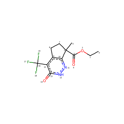 CCOC(=O)C1(C)CCc2c1n[nH]c(=O)c2C(F)(F)F